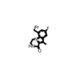 Cc1c2n(c3c(CC(C)C)cc(F)cc13)CCNC2=O